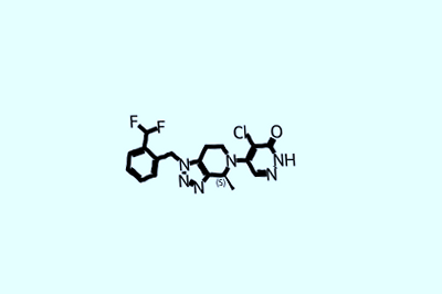 C[C@H]1c2nnn(Cc3ccccc3C(F)F)c2CCN1c1cn[nH]c(=O)c1Cl